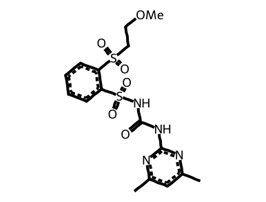 COCCS(=O)(=O)c1ccccc1S(=O)(=O)NC(=O)Nc1nc(C)cc(C)n1